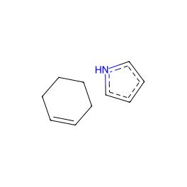 C1=CCCCC1.c1cc[nH]c1